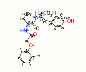 Cc1ccccc1OCC(=O)N[C@@H](CC(C)C)C(=O)N[C@@H](Cc1ccc(O)cc1)C(=O)O